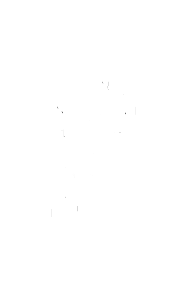 N#Cc1c(-c2c(Cl)cc(C(F)(F)F)cc2Cl)n[nH]c1N